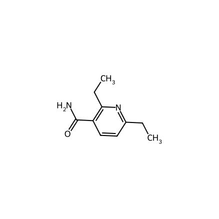 CCc1ccc(C(N)=O)c(CC)n1